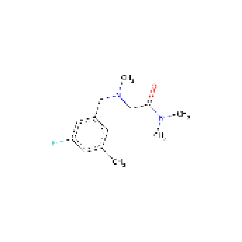 Cc1cc(F)cc(CN(C)CC(=O)N(C)C)c1